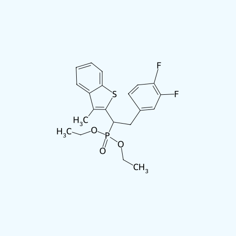 CCOP(=O)(OCC)C(Cc1ccc(F)c(F)c1)c1sc2ccccc2c1C